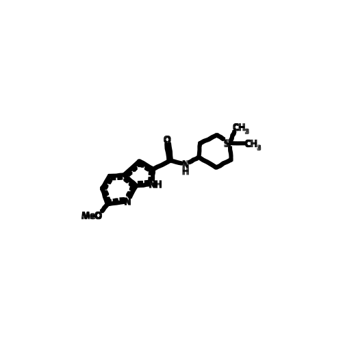 COc1ccc2cc(C(=O)NC3CC[Si](C)(C)CC3)[nH]c2n1